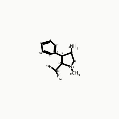 CN1CC(N)C(c2ccccc2)C1C(F)F